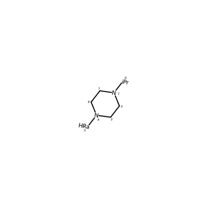 CC(C)N1CC[N]([RaH])CC1